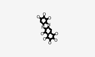 O=c1cc2nc3c(=O)c4c(=O)c(=O)c(=O)c(=O)c4cc3nc2c(=O)c1=O